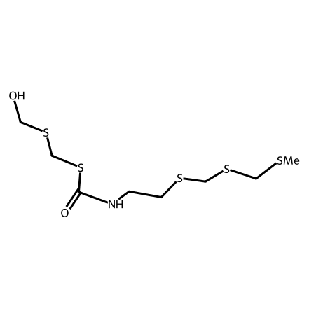 CSCSCSCCNC(=O)SCSCO